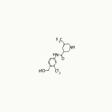 O=C(Nc1ccc(CO)c(C(F)(F)F)c1)C1CNCC(C(F)(F)F)C1